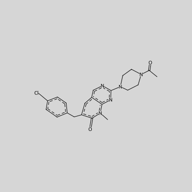 CC(=O)N1CCN(c2ncc3cc(Cc4ccc(Cl)cc4)c(=O)n(C)c3n2)CC1